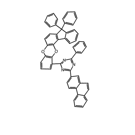 c1ccc(-c2nc(-c3ccc4c(ccc5ccccc54)c3)nc(-c3cccc4c3Oc3c(ccc5c3-c3ccccc3C5(c3ccccc3)c3ccccc3)O4)n2)cc1